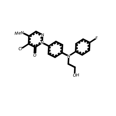 CNc1cnn(-c2ccc(N(CCO)c3ccc(F)cc3)cc2)c(=O)c1Cl